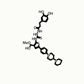 COC(O)c1cc(-c2ccc(N3CCC(N4CCCCC4)CC3)cc2)sc1NC(=S)NNC(=O)CCc1ccc(O)c(O)c1